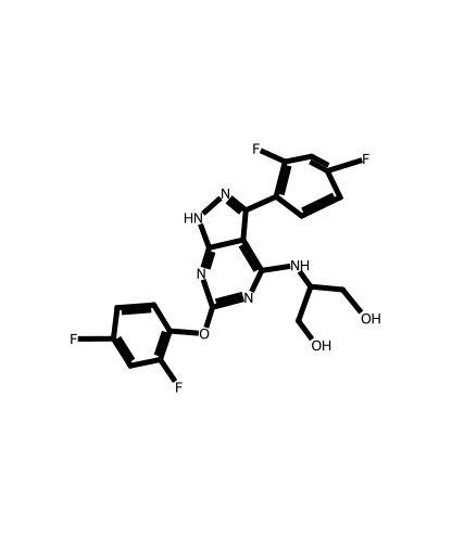 OCC(CO)Nc1nc(Oc2ccc(F)cc2F)nc2[nH]nc(-c3ccc(F)cc3F)c12